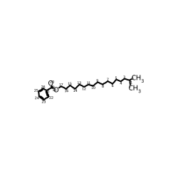 CC(C)CCCCCCCCCCCCCCCOC(=O)c1ccccc1